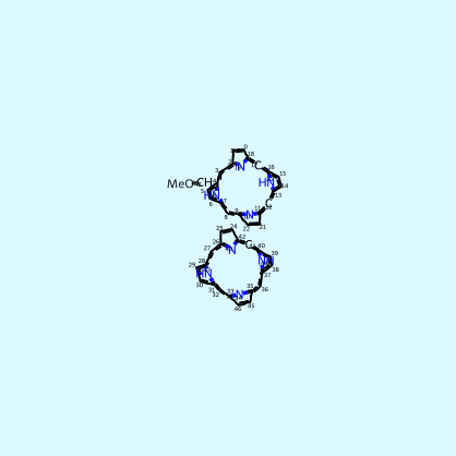 C1=Cc2cc3ccc(cc4nc(cc5ccc(cc1n2)[nH]5)C=C4)[nH]3.C1=Cc2cc3ccc(cc4nc(cc5ccc(cc1n2)[nH]5)C=C4)[nH]3.COC